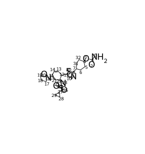 NC(=O)OC1CCC(c2ncc(C3C=CC(N4CCCO4)=CC3=NS(=O)(=O)C3CC3)s2)CC1